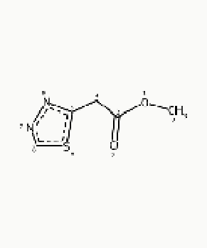 COC(=O)Cc1nn[c]s1